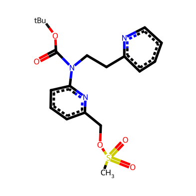 CC(C)(C)OC(=O)N(CCc1ccccn1)c1cccc(COS(C)(=O)=O)n1